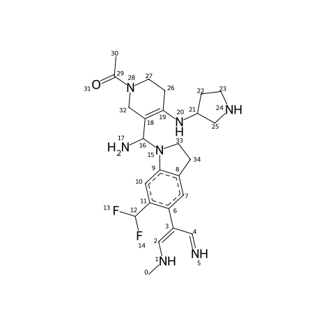 CN/C=C(\C=N)c1cc2c(cc1C(F)F)N(C(N)C1=C(NC3CCNC3)CCN(C(C)=O)C1)CC2